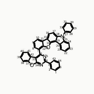 c1ccc(-c2nc(-c3cccc4c3oc3c4ccc4c3c3ccccc3n4-c3ccccc3)c3c(n2)oc2ccccc23)cc1